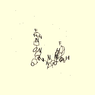 CC(F)(F)c1nc(N2CC3(CCOCC3)c3cc(OC4CCN(c5ncc(F)cn5)CC4)ncc32)ncc1C(=O)N[C@]1(C(=O)O)[C@@H]2CC3C[C@H]1C[C@@](F)(C3)C2